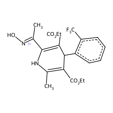 CCOC(=O)C1=C(C)NC(/C(C)=N/O)=C(C(=O)OCC)C1c1ccccc1C(F)(F)F